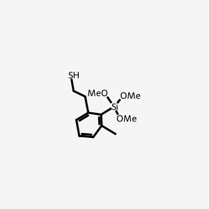 CO[Si](OC)(OC)c1c(C)cccc1CCS